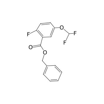 O=C(OCc1ccccc1)c1cc(OC(F)F)ccc1F